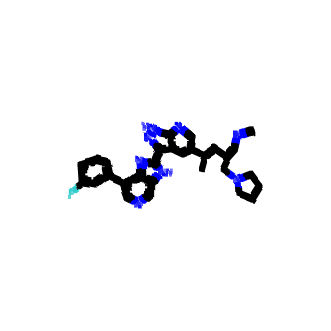 C=N/C=C(\C=C(/C)c1cnc2[nH]nc(-c3nc4c(-c5cccc(F)c5)cncc4[nH]3)c2c1)CN1CCCC1